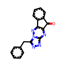 O=C1c2ccccc2-c2nn3c(Cc4ccccc4)nnc3nc21